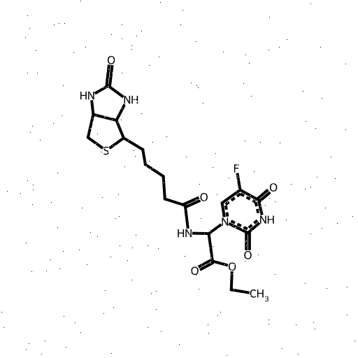 CCOC(=O)C(NC(=O)CCCCC1SCC2NC(=O)NC21)n1cc(F)c(=O)[nH]c1=O